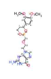 COc1ccc(C2CCOP(COCCn3cnc4c(=O)[nH]c(N)nc43)O2)cc1OC